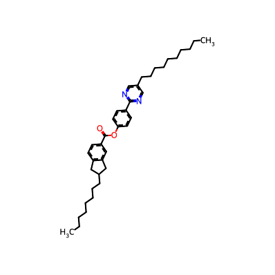 CCCCCCCCCCc1cnc(-c2ccc(OC(=O)c3ccc4c(c3)CC(CCCCCCCC)C4)cc2)nc1